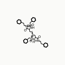 O=C(NCCc1ccccc1)C(CSSCC(NS(=O)(=O)Cc1ccccc1)C(=O)NCCc1ccccc1)NS(=O)(=O)Cc1ccccc1